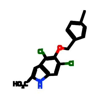 Cc1ccc(COc2c(Cl)cc3[nH]c(C(=O)O)cc3c2Cl)cc1